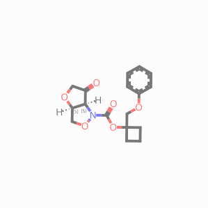 O=C1CO[C@@H]2CON(C(=O)OC3(COc4ccccc4)CCC3)[C@H]12